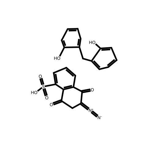 Oc1ccccc1Cc1ccccc1O.[N-]=[N+]=C1CC(=O)c2c(cccc2S(=O)(=O)O)C1=O